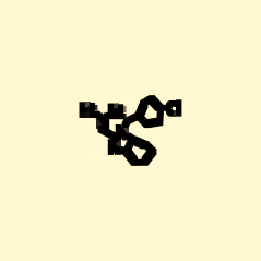 CCN(CC)Cc1nc2ccccc2n1Cc1ccc(Cl)cc1